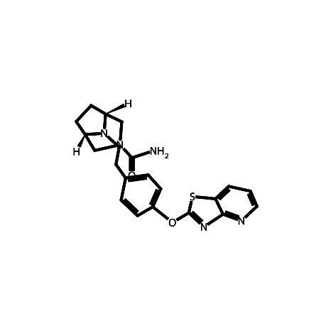 NC(=O)N1C[C@H]2CC[C@@H](C1)N2CCc1ccc(Oc2nc3ncccc3s2)cc1